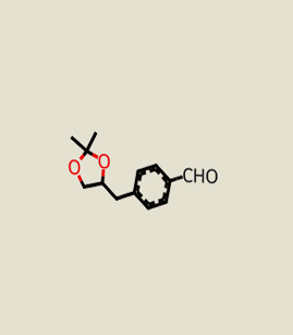 CC1(C)OCC(Cc2ccc(C=O)cc2)O1